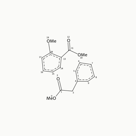 COC(=O)Cc1ccccc1.COC(=O)c1ccccc1OC